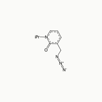 CC(C)n1cccc(CN=[N+]=[N-])c1=O